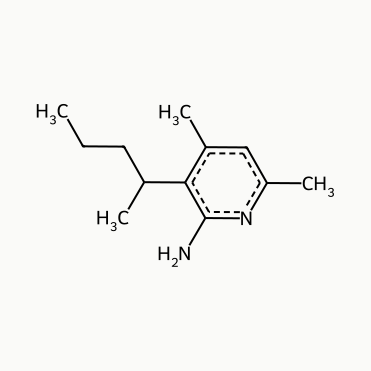 CCCC(C)c1c(C)cc(C)nc1N